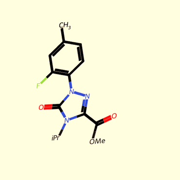 COC(=O)c1nn(-c2ccc(C)cc2F)c(=O)n1C(C)C